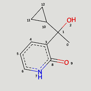 CC(O)(c1ccc[nH]c1=O)C1CC1